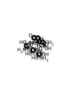 C[C@@H]1C[C@H]2[C@@H]3CCC4=CC(=O)C=C[C@]4(C)[C@@]3(F)[C@@H](O)C[C@]2(C)[C@@]1(O)C(=O)CO.NC[C@H]1O[C@H](O[C@H]2[C@H](O)[C@@H](O[C@H]3O[C@H](CO)[C@@H](O)[C@H](N)[C@H]3O)[C@H](N)C[C@@H]2N)[C@H](N)C[C@@H]1O